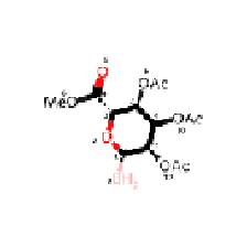 B[C@H]1O[C@H](C(=O)OC)[C@@H](OC(C)=O)C(OC(C)=O)[C@H]1OC(C)=O